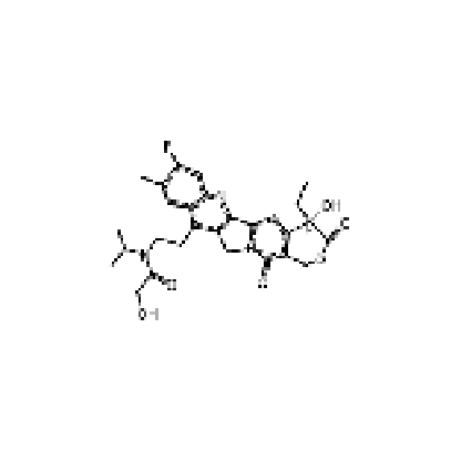 CC[C@@]1(O)C(=O)OCc2c1cc1n(c2=O)Cc2c-1nc1cc(F)c(C)cc1c2CCN(C(=O)CO)C(C)C